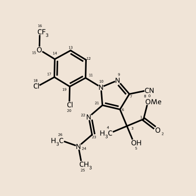 COC(=O)C(C)(O)c1c(C#N)nn(-c2ccc(OC(F)(F)F)c(Cl)c2Cl)c1N=CN(C)C